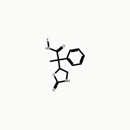 CC(C(=O)NF)(c1ccccc1)C1CNC(=O)O1